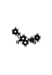 N#Cc1c(OCc2ccccc2)ccc2c1CCCC2=NOS(=O)(=O)c1ccccc1